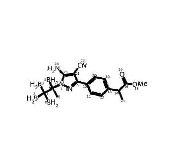 BC(B)(B)C(B)(C)n1nc(-c2ccc(C(C)C(=O)OC)cc2)c(C#N)c1N